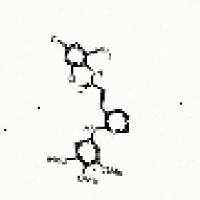 COc1cc(Nc2ncccc2/C=C/C(=O)Nc2c(N)cc(Cl)cc2Cl)cc(OC)c1OC